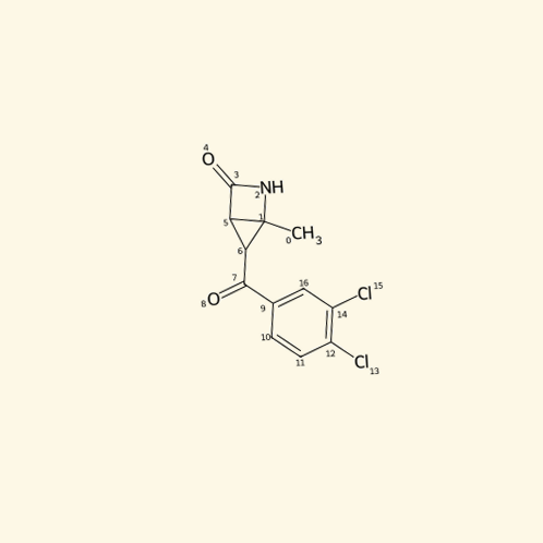 CC12NC(=O)C1C2C(=O)c1ccc(Cl)c(Cl)c1